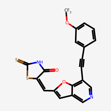 O=C1NC(=S)SC1=Cc1cc2cncc(C#Cc3cccc(OC(F)(F)F)c3)c2o1